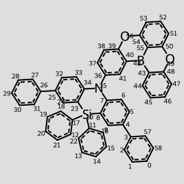 c1ccc(-c2ccc3c(c2)[Si](c2ccccc2)(c2ccccc2)c2cc(-c4ccccc4)ccc2N3c2ccc3c(c2)B2c4ccccc4Oc4cccc(c42)O3)cc1